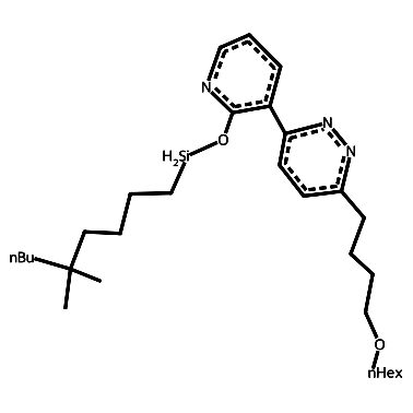 CCCCCCOCCCCc1ccc(-c2cccnc2O[SiH2]CCCCC(C)(C)CCCC)nn1